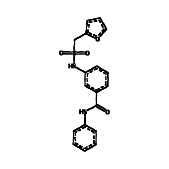 O=C(Nc1ccccc1)c1cccc(NS(=O)(=O)Cc2ccco2)c1